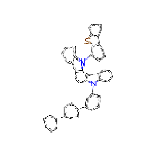 c1ccc(-c2ccc(-c3cccc(-n4c5ccccc5c5c4ccc4c6ccccc6n(-c6cccc7c6sc6ccccc67)c45)c3)cc2)cc1